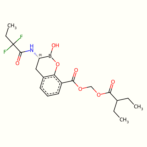 CCC(CC)C(=O)OCOC(=O)c1cccc2c1OB(O)[C@@H](NC(=O)C(F)(F)CC)C2